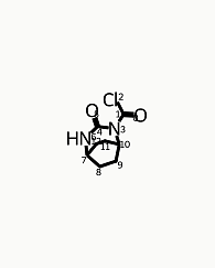 O=C(Cl)N1C(=O)NC2CCC1CC2